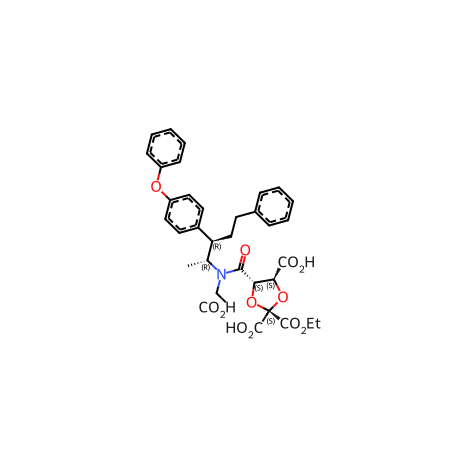 CCOC(=O)[C@]1(C(=O)O)O[C@H](C(=O)O)[C@@H](C(=O)N(CC(=O)O)[C@H](C)[C@H](CCc2ccccc2)c2ccc(Oc3ccccc3)cc2)O1